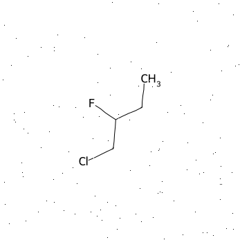 CCC(F)CCl